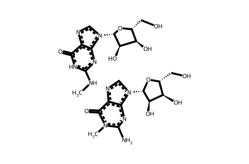 CNc1nc2c(ncn2[C@@H]2O[C@H](CO)[C@@H](O)[C@H]2O)c(=O)[nH]1.Cn1c(N)nc2c(ncn2[C@@H]2O[C@H](CO)[C@@H](O)[C@H]2O)c1=O